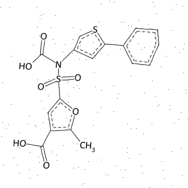 Cc1oc(S(=O)(=O)N(C(=O)O)c2csc(-c3ccccc3)c2)cc1C(=O)O